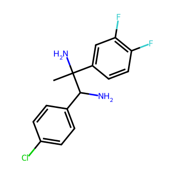 CC(N)(c1ccc(F)c(F)c1)C(N)c1ccc(Cl)cc1